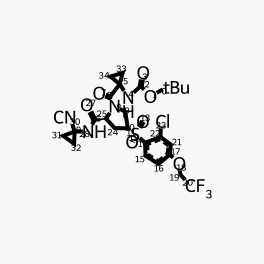 CC(C)(C)OC(=O)NC1(C(=O)N2C[C@H](S(=O)(=O)c3ccc(OCC(F)(F)F)cc3Cl)C[C@H]2C(=O)NC2(C#N)CC2)CC1